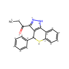 N#CCC(=O)c1n[nH]c2c1C(c1ccccc1)Sc1ccccc1-2